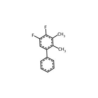 Cc1c(-c2ccccc2)cc(F)c(F)c1C